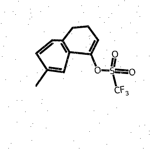 Cc1ccc2c(c1)C(OS(=O)(=O)C(F)(F)F)=CCC2